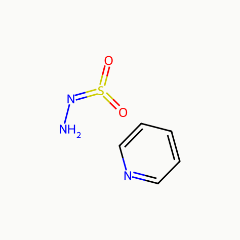 NN=S(=O)=O.c1ccncc1